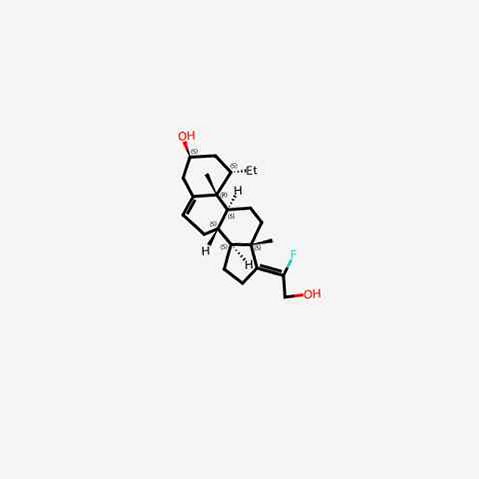 CC[C@H]1C[C@H](O)CC2=CC[C@@H]3[C@H](CC[C@]4(C)C(=C(F)CO)CC[C@@H]34)[C@]21C